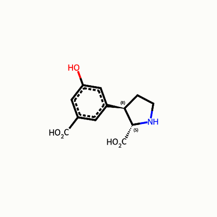 O=C(O)c1cc(O)cc([C@H]2CCN[C@@H]2C(=O)O)c1